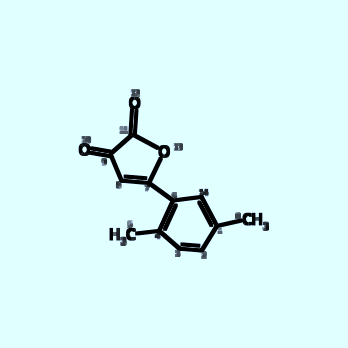 Cc1ccc(C)c(C2=CC(=O)C(=O)O2)c1